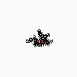 COc1ccc(C(=O)NCCC(OC(c2ccccc2)(c2ccc(OC)cc2)c2ccc(OC)cc2)[C@H]2O[C@@H](n3cc(C)c(=O)[nH]c3=O)C[C@]2(O)OP(O)N(C(C)C)C(C)C)cc1